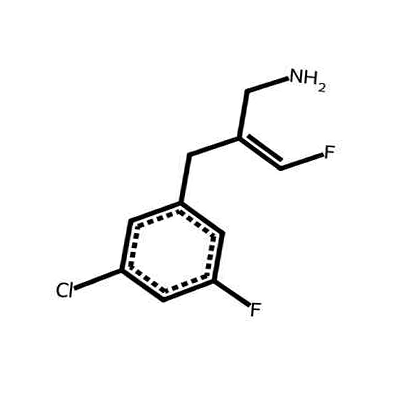 NCC(=CF)Cc1cc(F)cc(Cl)c1